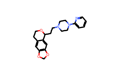 c1ccc(N2CCN(CCC3OCCc4cc5c(cc43)OCO5)CC2)nc1